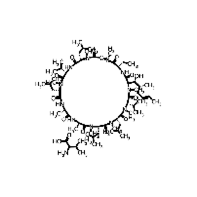 C/C=C/C[C@@H](C)[C@@H](O)[C@H]1C(=O)N[C@@H](CC)C(=O)N(C)CC(=O)N(C)[C@@H](CC(C)C)C(=O)N[C@@H](C(C)C)C(=O)N(C)[C@@H](CC(C)C)C(=O)N[C@@H](C)C(=O)N[C@H](C)C(=O)N(C)[C@@H](CC(C)C)C(=O)N(C)[C@@H](CC(C)C)C(=O)N(C)[C@@H](C(C)C)C(=O)N1C.CC(C)C(N)C(=O)O